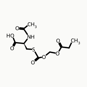 CCC(=O)OCOC(=O)SC[C@H](NC(C)=O)C(=O)O